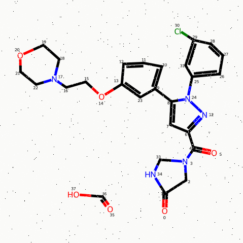 O=C1CN(C(=O)c2cc(-c3cccc(OCCN4CCOCC4)c3)n(-c3cccc(Cl)c3)n2)CN1.O=CO